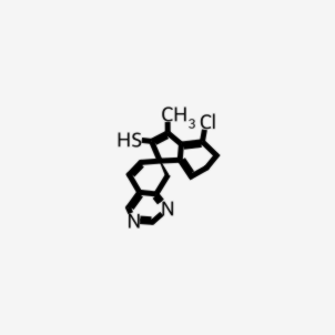 CC1=C(S)[C@@]2(C=Cc3cncnc3C2)C2=CCCC(Cl)=C21